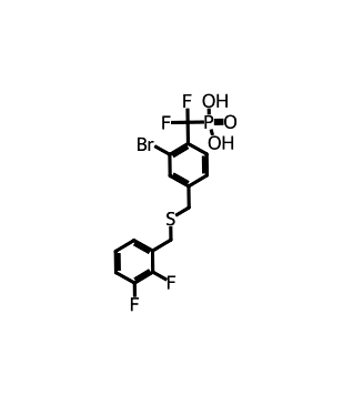 O=P(O)(O)C(F)(F)c1ccc(CSCc2cccc(F)c2F)cc1Br